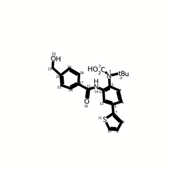 CC(C)(C)N(C(=O)O)c1ccc(-c2cccs2)cc1NC(=O)c1ccc(CO)cc1